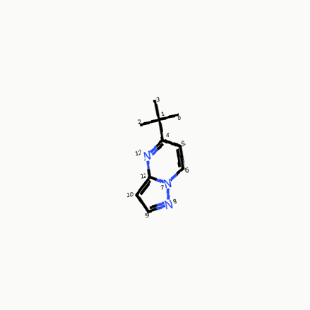 CC(C)(C)c1ccn2nccc2n1